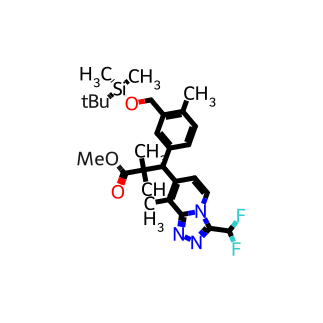 COC(=O)C(C)(C)C(c1ccc(C)c(CO[Si](C)(C)C(C)(C)C)c1)c1ccn2c(C(F)F)nnc2c1C